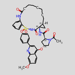 COc1ccc2c(O[C@@H]3C[C@@H](C(=O)N[C@]45C[C@@H]4CCCCCCCC(=O)Nc4ccccc4S(=O)(=O)NC5=O)N(C(C)=O)C3)cc(-c3ccccc3)nc2c1